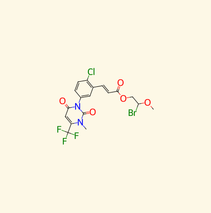 COC(Br)COC(=O)C=Cc1cc(-n2c(=O)cc(C(F)(F)F)n(C)c2=O)ccc1Cl